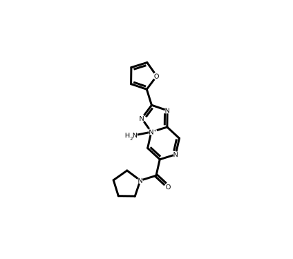 N[N+]12C=C(C(=O)N3CCCC3)N=CC1=NC(c1ccco1)=N2